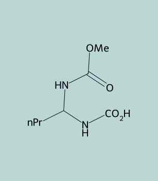 CCCC(NC(=O)O)NC(=O)OC